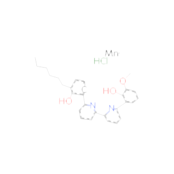 CCCCCCc1cccc(-c2cccc(-c3cccc(-c4cccc(OC)c4O)n3)n2)c1O.Cl.[Mn]